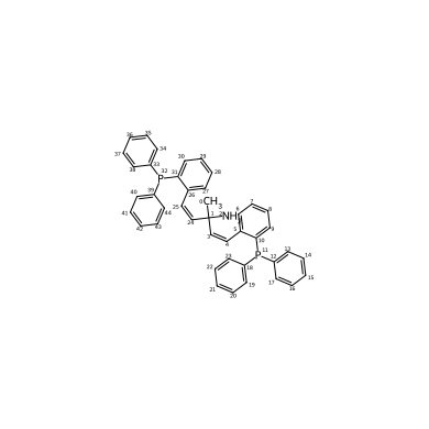 CC(N)(/C=C\c1ccccc1P(c1ccccc1)c1ccccc1)/C=C\c1ccccc1P(c1ccccc1)c1ccccc1